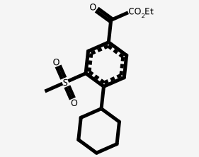 CCOC(=O)C(=O)c1ccc(C2CCCCC2)c(S(C)(=O)=O)c1